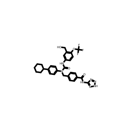 O=C(Nc1nn[nH]n1)c1ccc(CN(C(=O)Nc2ccc(OC(F)(F)F)c(CO)c2)c2ccc(C3CCCCC3)cc2)cc1